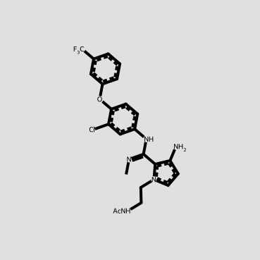 C/N=C(/Nc1ccc(Oc2cccc(C(F)(F)F)c2)c(Cl)c1)c1c(N)ccn1CCNC(C)=O